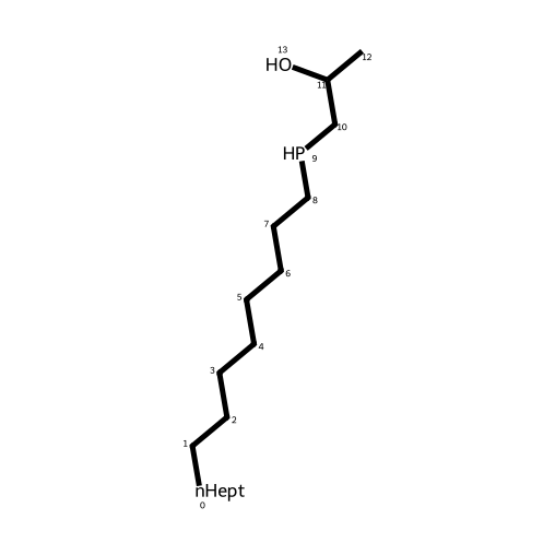 CCCCCCCCCCCCCCCPCC(C)O